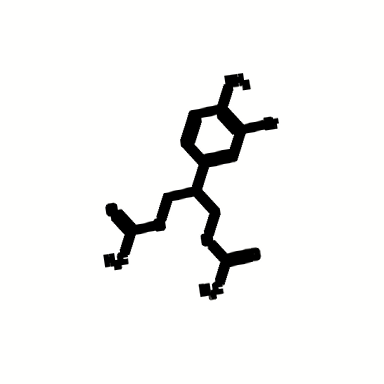 CC(=O)OCC(COC(C)=O)c1ccc(N)c(Br)c1